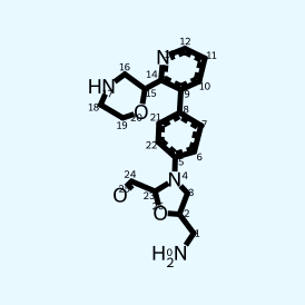 NCC1CN(c2ccc(-c3cccnc3C3CNCCO3)cc2)C(C=O)O1